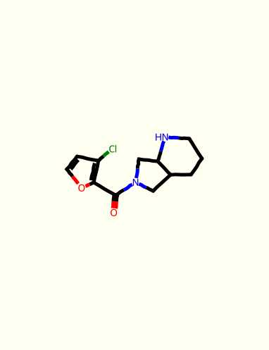 O=C(c1occc1Cl)N1CC2CCCNC2C1